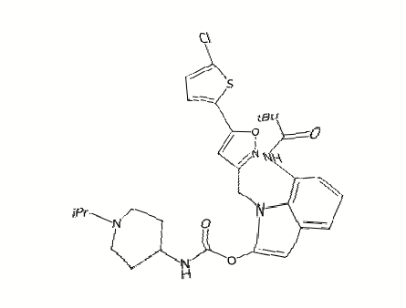 CC(C)N1CCC(NC(=O)Oc2cc3cccc(NC(=O)C(C)(C)C)c3n2Cc2cc(-c3ccc(Cl)s3)on2)CC1